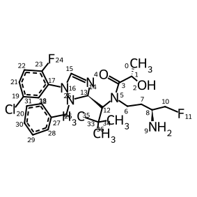 C[C@H](O)C(=O)N(CC[C@H](N)CF)C([C@@H]1N=CN(c2cc(Cl)ccc2F)N1Cc1ccccc1)C(C)(C)C